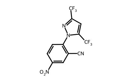 N#Cc1cc([N+](=O)[O-])ccc1-n1nc(C(F)(F)F)cc1C(F)(F)F